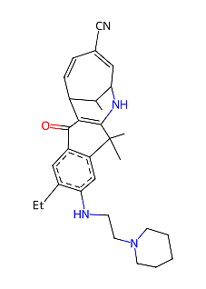 CCc1cc2c(cc1NCCN1CCCCC1)C(C)(C)C1=C(C2=O)C2C=CC(C#N)=CC(N1)C2C